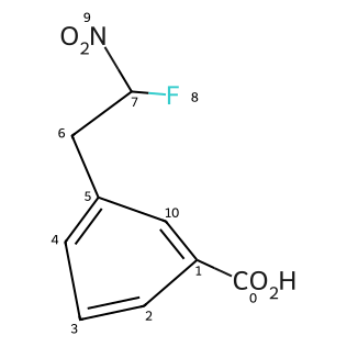 O=C(O)c1cccc(CC(F)[N+](=O)[O-])c1